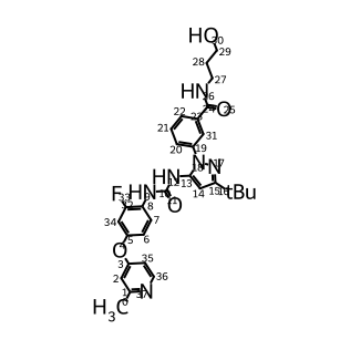 Cc1cc(Oc2ccc(NC(=O)Nc3cc(C(C)(C)C)nn3-c3cccc(C(=O)NCCCO)c3)c(F)c2)ccn1